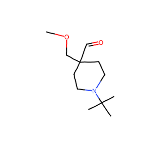 COCC1(C=O)CCN(C(C)(C)C)CC1